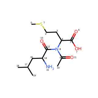 CSCCC(C(=O)O)N(C(C)=O)C(=O)C(N)CC(C)C